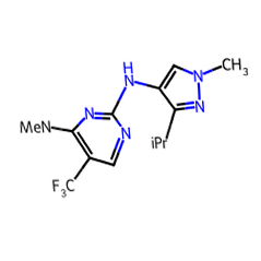 CNc1nc(Nc2cn(C)nc2C(C)C)ncc1C(F)(F)F